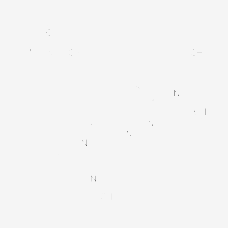 Cc1cs/c(=N\N=C\c2n(C)cc[n+]2CCCCS(=O)(=O)[O-])n1C